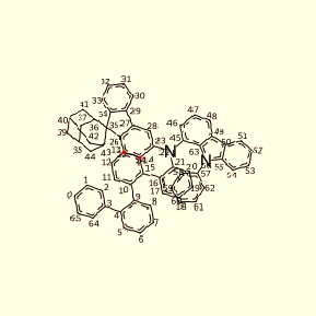 c1ccc(-c2ccccc2-c2ccccc2-c2ccccc2N(c2ccc3c(c2)-c2ccccc2C32C3CC4CC(C3)CC2C4)c2cccc3c4ccccc4n(-c4ccccc4)c23)cc1